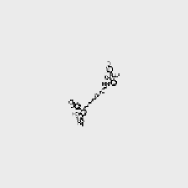 Cc1cc(-c2ccc(CCCCCCOCCOCCNc3cccc4c3C(=O)N(C3CCC(=O)NC3=O)C4=O)c(-c3ccc(Cl)c(C)c3)c2O)n(C)n1